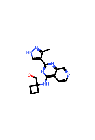 Cc1n[nH]cc1-c1nc(NC2(CO)CCC2)c2ccncc2n1